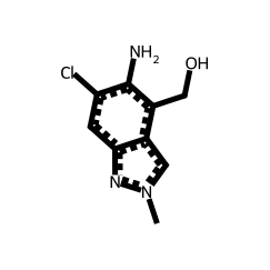 Cn1cc2c(CO)c(N)c(Cl)cc2n1